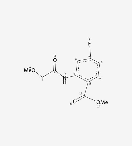 COCC(=O)Nc1cc(F)ccc1C(=O)OC